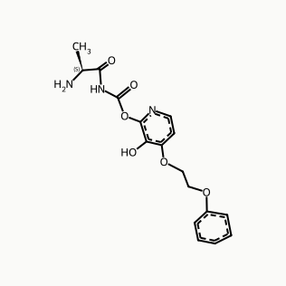 C[C@H](N)C(=O)NC(=O)Oc1nccc(OCCOc2ccccc2)c1O